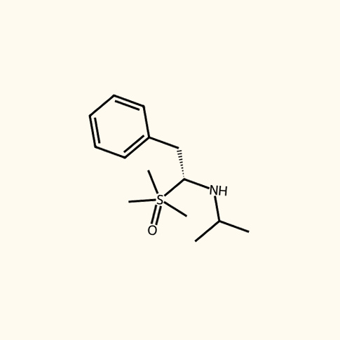 CC(C)N[C@@H](Cc1ccccc1)S(C)(C)(C)=O